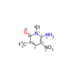 CCn1c(N)c([N+](=O)[O-])cc(C(F)(F)F)c1=O